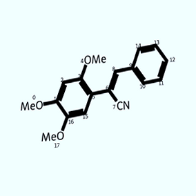 COc1cc(OC)c(C(C#N)=Cc2ccccc2)cc1OC